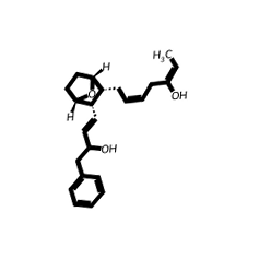 C/C=C(/O)C/C=C\C[C@@H]1[C@H](/C=C/C(O)Cc2ccccc2)[C@@H]2CC[C@H]1O2